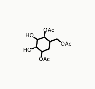 CC(=O)OCC1CC(OC(C)=O)[C@@H](O)C(O)[C@H]1OC(C)=O